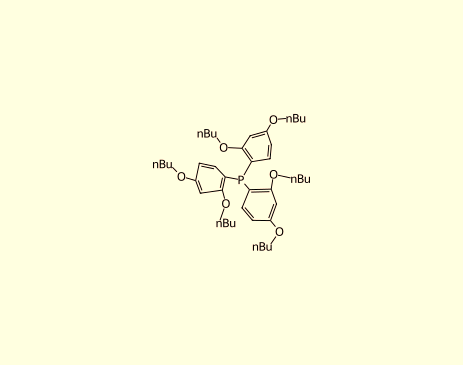 CCCCOc1ccc(P(c2ccc(OCCCC)cc2OCCCC)c2ccc(OCCCC)cc2OCCCC)c(OCCCC)c1